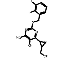 N#Cc1c(O)nc(SCc2cccc(F)c2F)nc1C1CC1CO